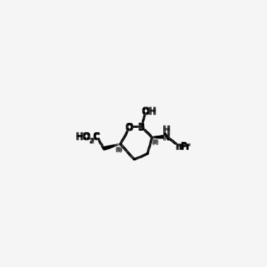 CCCN[C@H]1CC[C@@H](CC(=O)O)OB1O